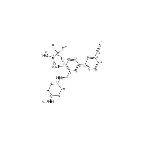 CNC1CCC(NCc2cc(-c3cccc(C#N)c3)ccc2F)CC1.O=C(O)C(F)(F)F